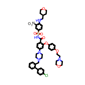 O=C(NS(=O)(=O)c1ccc(NCC2CCOCC2)c([N+](=O)[O-])c1)c1ccc(N2CCN(Cc3ccccc3-c3ccc(Cl)cc3)CC2)cc1Oc1ccc(OCCN2CCOCC2)cc1